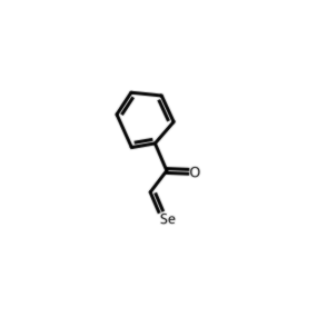 O=C(C=[Se])c1ccccc1